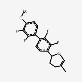 CCOc1ccc(-c2ccc(C3CCC(C)=CO3)c(F)c2F)c(F)c1F